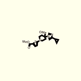 COC(=O)c1ccc(N2CCC(OC)(n3cnc(C4CC4)c3)CC2)s1